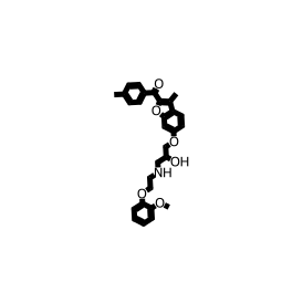 COc1ccccc1OCCNCC(O)COc1ccc2c(C)c(C(=O)c3ccc(C)cc3)oc2c1